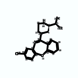 CC[C@H](C(C)=O)[C@@H]1CN(C2=Nc3cc(Cl)ccc3Oc3ccccc32)CCN1